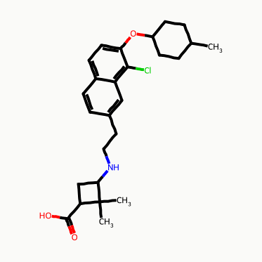 CC1CCC(Oc2ccc3ccc(CCNC4CC(C(=O)O)C4(C)C)cc3c2Cl)CC1